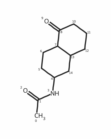 CC(=O)NC1CCC2C(=O)CCCC2C1